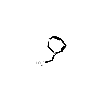 O=C(O)CN1C=CC=CSC1